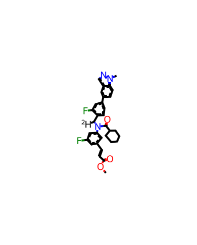 [2H]C(c1ccc(-c2ccc3c(cnn3C)c2)cc1F)N(C(=O)C1CCCCC1)c1cc(F)cc(/C=C/C(=O)OC)c1